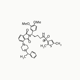 COc1ccc([C@@H](CCCNS(=O)(=O)c2cc(C)sc2C)N2C(=O)c3cccc(N4CCN([C@H](C)c5ccccc5)CC4)c3C2=O)cc1OC